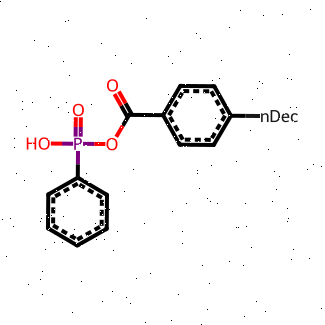 CCCCCCCCCCc1ccc(C(=O)OP(=O)(O)c2ccccc2)cc1